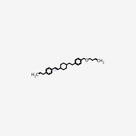 C=CCCOCc1ccc(CCC2CCC(/C=C/c3ccc(CC=C)cc3)CC2)cc1